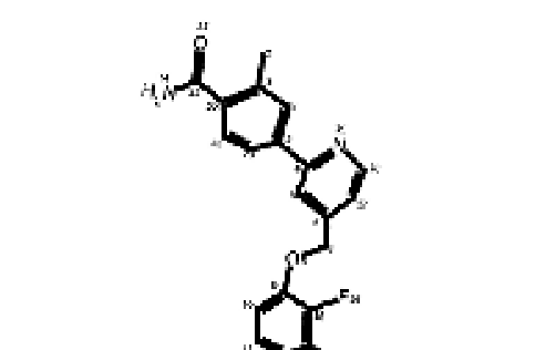 Cc1cc(-c2cc(COc3cccc(Cl)c3F)ccn2)ccc1C(N)=O